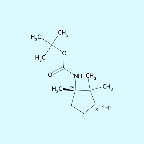 CC(C)(C)OC(=O)N[C@@]1(C)CC[C@@H](F)C1(C)C